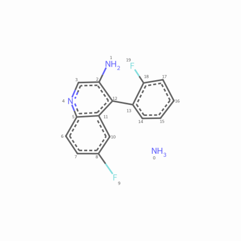 N.Nc1cnc2ccc(F)cc2c1-c1ccccc1F